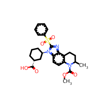 COC(=O)N1c2ccc3c(nc(S(=O)(=O)c4ccccc4)n3[C@@H]3CCC[C@@H](C(=O)O)C3)c2CCC1C